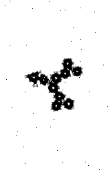 Cc1cc(C)c(-c2ccc(-n3c4ccc(-c5ccc6c(c5)c5ccccc5n6-c5ccccc5)cc4c4cc(-c5ccc6c(c5)c5ccccc5n6-c5ccccc5)ccc43)cc2)c(C)c1